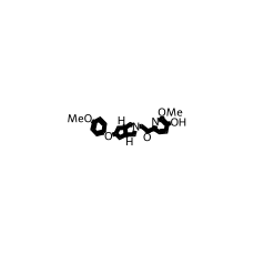 COc1ccc(OC2C[C@@H]3CN(CC(=O)c4ccc(O)c(OC)n4)C[C@@H]3C2)cc1